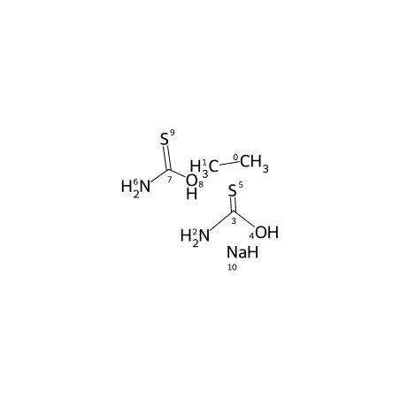 CC.NC(O)=S.NC(O)=S.[NaH]